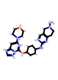 CN1CCc2nc(NC3CCC(Oc4nc(N5CCOCC5)cc5ncnn45)CC3)ncc2C1